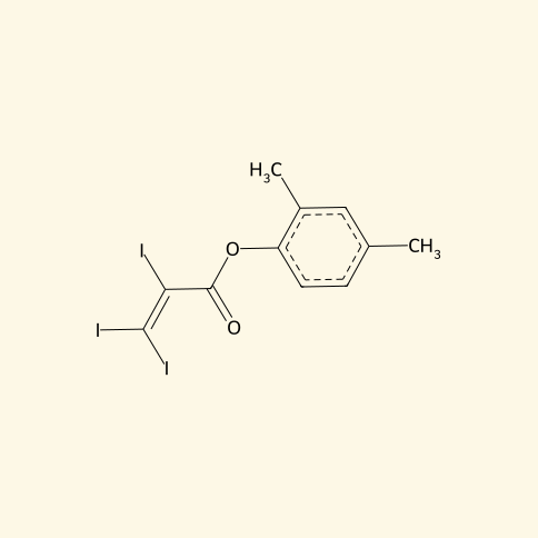 Cc1ccc(OC(=O)C(I)=C(I)I)c(C)c1